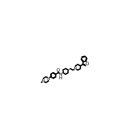 CN1CCN(c2ccc(C(=O)N[C@H]3CC[C@H](CCN4CCC(c5coc6ccccc56)CC4)CC3)cc2)CC1